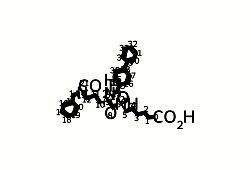 O=C(O)CCCCCNC(=O)[C@H](CCCN(Cc1ccccc1)C(=O)O)NC(=O)c1ccc(-c2ccccc2)cc1